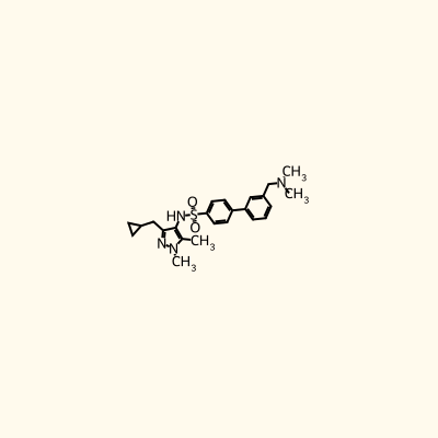 Cc1c(NS(=O)(=O)c2ccc(-c3cccc(CN(C)C)c3)cc2)c(CC2CC2)nn1C